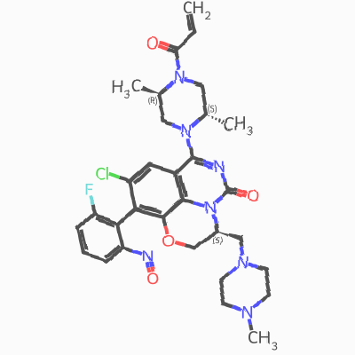 C=CC(=O)N1C[C@H](C)N(c2nc(=O)n3c4c(c(-c5c(F)cccc5N=O)c(Cl)cc24)OC[C@@H]3CN2CCN(C)CC2)C[C@H]1C